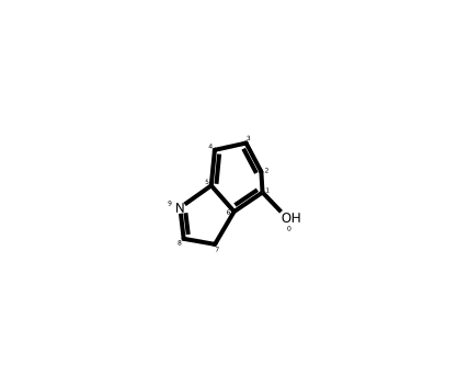 Oc1cccc2c1CC=N2